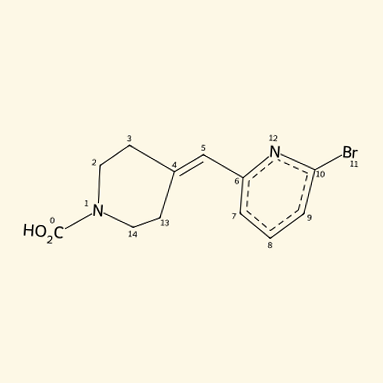 O=C(O)N1CCC(=Cc2cccc(Br)n2)CC1